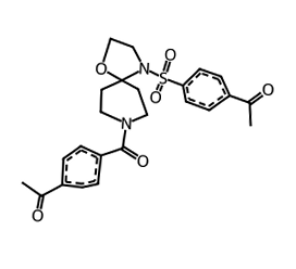 CC(=O)c1ccc(C(=O)N2CCC3(CC2)OCCN3S(=O)(=O)c2ccc(C(C)=O)cc2)cc1